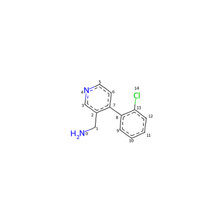 NCc1cnccc1-c1ccccc1Cl